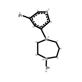 CC(C)c1cncc(N2CCCN(C(C)C)CC2)c1